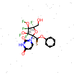 O=c1ccn([C@]2(C(=S)Oc3ccccc3)O[C@](F)(CO)[C@@](F)(OF)[C@@]2(F)OF)c(=O)[nH]1